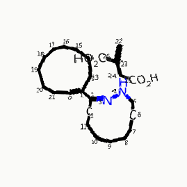 C1=C(/C2=N\NCCCCCCCC2)CCCCCCCCC/1.C=C(CC(=O)O)C(=O)O